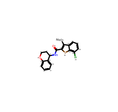 COc1c(C(=O)NC2CCOc3ccccc32)sc2c(Br)cccc12